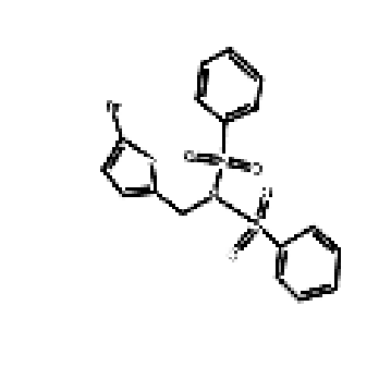 O=S(=O)(c1ccccc1)N(Cc1ccc(Br)s1)S(=O)(=O)c1ccccc1